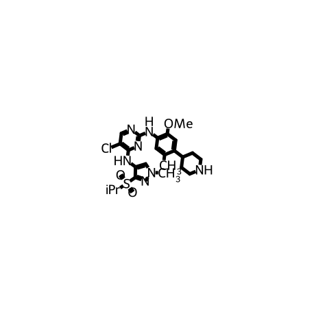 COc1cc(C2CCNCC2)c(C)cc1Nc1ncc(Cl)c(Nc2cn(C)nc2S(=O)(=O)C(C)C)n1